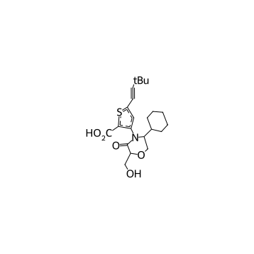 CC(C)(C)C#Cc1cc(N2C(=O)C(CO)OCC2C2CCCCC2)c(C(=O)O)s1